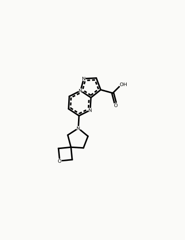 O=C(O)c1cnn2ccc(N3CCC4(COC4)C3)nc12